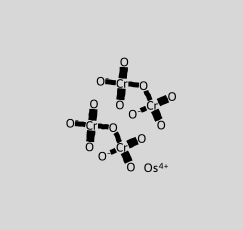 [O]=[Cr](=[O])([O-])[O][Cr](=[O])(=[O])[O-].[O]=[Cr](=[O])([O-])[O][Cr](=[O])(=[O])[O-].[Os+4]